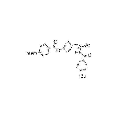 COc1ccc(C(=O)Oc2ccc(C[C@H](NC(=O)c3ccc(C(C)(C)C)cc3)C(C)=O)cc2)cc1